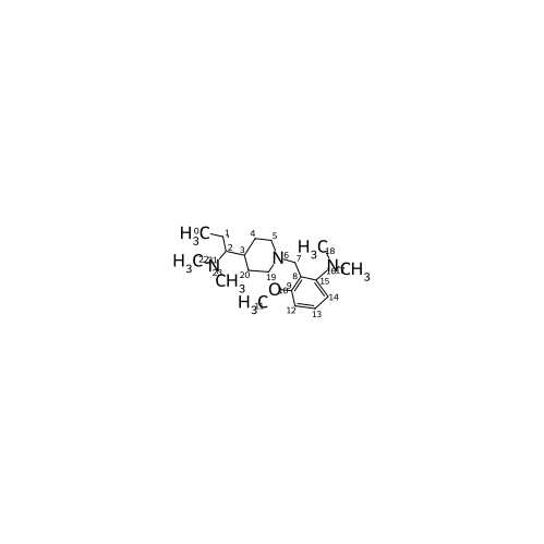 C[CH]C(C1CCN(Cc2c(OC)cccc2N(C)C)CC1)N(C)C